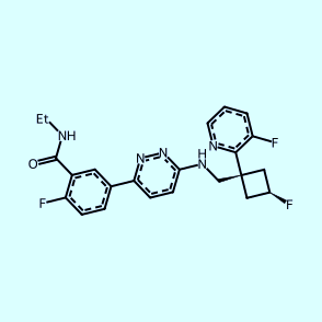 CCNC(=O)c1cc(-c2ccc(NC[C@]3(c4ncccc4F)C[C@H](F)C3)nn2)ccc1F